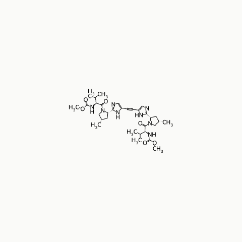 COC(=O)N[C@H](C(=O)N1C[C@@H](C)C[C@H]1c1ncc(C#Cc2cnc([C@@H]3C[C@H](C)CN3C(=O)[C@@H](NC(=O)OC)C(C)C)[nH]2)[nH]1)C(C)C